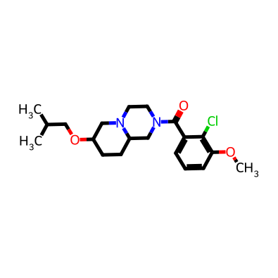 COc1cccc(C(=O)N2CCN3CC(OCC(C)C)CCC3C2)c1Cl